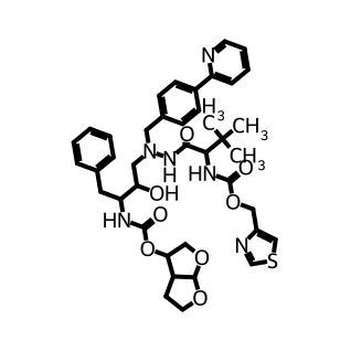 CC(C)(C)C(NC(=O)OCc1cscn1)C(=O)NN(Cc1ccc(-c2ccccn2)cc1)CC(O)C(Cc1ccccc1)NC(=O)OC1COC2OCCC12